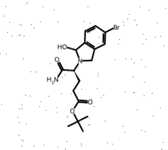 CC(C)(C)OC(=O)CC[C@@H](C(N)=O)N1Cc2cc(Br)ccc2C1O